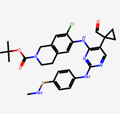 CNSc1ccc(Nc2ncc(C3(C=O)CC3)c(Nc3cc4c(cc3Cl)CN(C(=O)OC(C)(C)C)CC4)n2)cc1